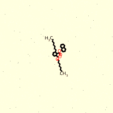 CCCCCCCCOC(=O)c1cccc(CCCCCCCC)c1C(=O)Oc1cccc2ccccc12